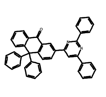 O=C1c2ccccc2C(c2ccccc2)(c2ccccc2)c2ccc(-c3cc(-c4ccccc4)nc(-c4ccccc4)n3)cc21